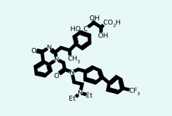 CCN(CC)CCN(Cc1ccc(-c2ccc(C(F)(F)F)cc2)cc1)C(=O)Cn1c(CC(C)c2ccccc2)nc(=O)c2ccccc21.O=C(O)C(O)C(O)C(=O)O